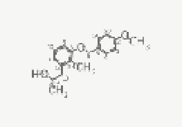 COc1ccc(COc2cccc(C[C@@H](C)O)c2C)cc1